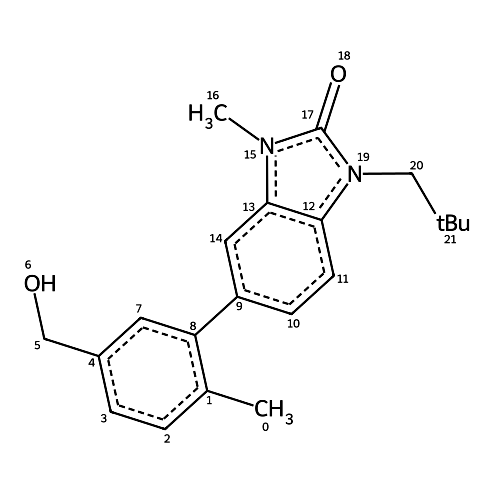 Cc1ccc(CO)cc1-c1ccc2c(c1)n(C)c(=O)n2CC(C)(C)C